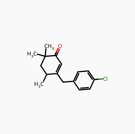 CC1CC(C)(C)C(=O)C=C1Cc1ccc(Cl)cc1